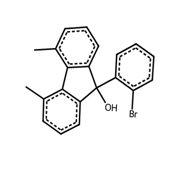 Cc1cccc2c1-c1c(C)cccc1C2(O)c1ccccc1Br